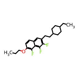 CCCOc1ccc2cc(CCC3CCC(CC)CC3)c(F)c(F)c2c1F